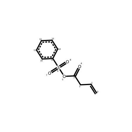 C=CCC(=O)OS(=O)(=O)c1ccccc1